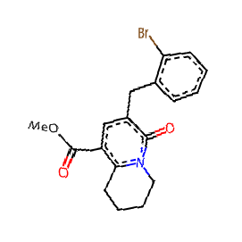 COC(=O)c1cc(Cc2ccccc2Br)c(=O)n2c1CCCC2